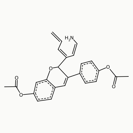 C=C/C=C(\C=C/N)C1Oc2cc(OC(C)=O)ccc2C=C1c1ccc(OC(C)=O)cc1